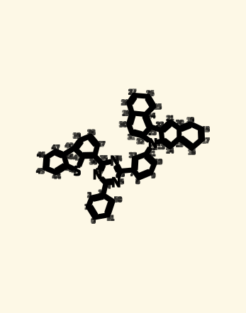 c1ccc(-c2nc(-c3cccc(-n4c5cc6ccccc6cc5c5c6ccccc6ccc54)c3)nc(-c3cccc4c3sc3ccccc34)n2)cc1